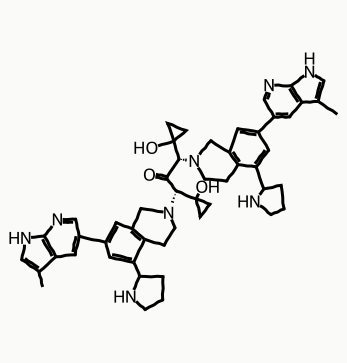 Cc1c[nH]c2ncc(-c3cc4c(c(C5CCCN5)c3)CCN([C@H](C(=O)[C@@H](N3CCc5c(cc(-c6cnc7[nH]cc(C)c7c6)cc5C5CCCN5)C3)C3(O)CC3)C3(O)CC3)C4)cc12